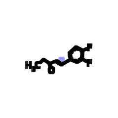 CCC(=O)/C=C/c1ccc(F)c(F)c1